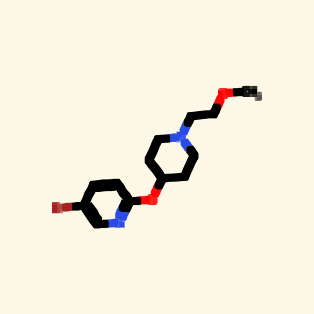 COCCN1CCC(Oc2ccc(Br)cn2)CC1